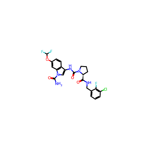 NC(=O)n1cc(NC(=O)N2CCC[C@H]2C(=O)NCc2cccc(Cl)c2F)c2ccc(OC(F)F)cc21